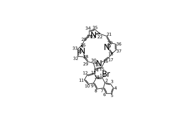 Brc1c2ccccc2cc2cccc(C3=CC4=CC5=NC(=CC6=NC(=CC7=NC(=CC3=N4)C=C7)C=C6)C=C5)c12